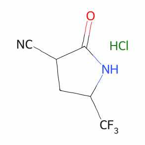 Cl.N#CC1CC(C(F)(F)F)NC1=O